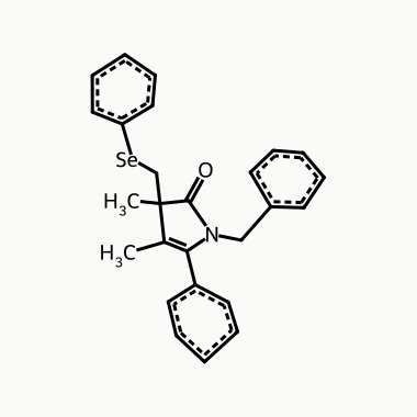 CC1=C(c2ccccc2)N(Cc2ccccc2)C(=O)C1(C)C[Se]c1ccccc1